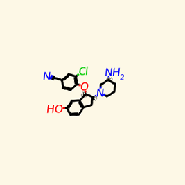 N#Cc1ccc(O[C@@H]2c3cc(O)ccc3C[C@H]2N2CCC[C@@H](N)C2)c(Cl)c1